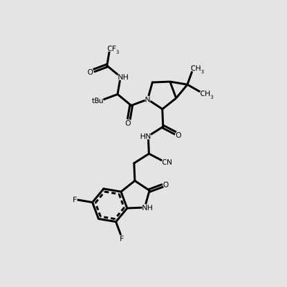 CC(C)(C)C(NC(=O)C(F)(F)F)C(=O)N1CC2C(C1C(=O)NC(C#N)CC1C(=O)Nc3c(F)cc(F)cc31)C2(C)C